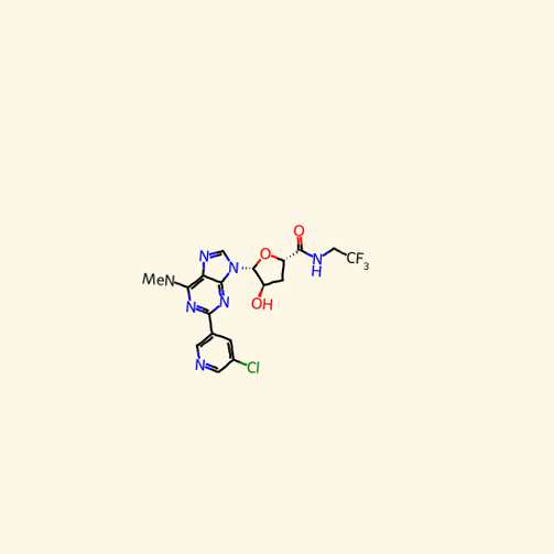 CNc1nc(-c2cncc(Cl)c2)nc2c1ncn2[C@@H]1O[C@H](C(=O)NCC(F)(F)F)C[C@H]1O